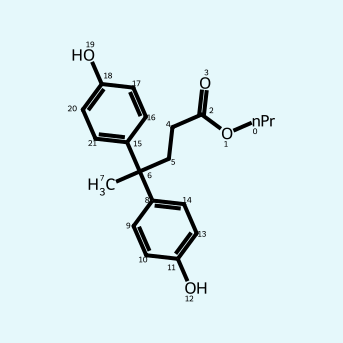 CCCOC(=O)CCC(C)(c1ccc(O)cc1)c1ccc(O)cc1